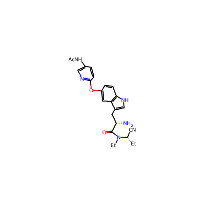 CC[C@@H](C#N)N(CC)C(=O)[C@@H](N)Cc1c[nH]c2ccc(Oc3ccc(NC(C)=O)cn3)cc12